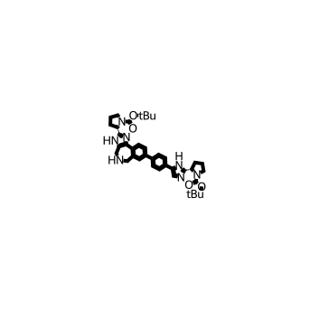 CC(C)(C)OC(=O)N1CCC[C@H]1c1ncc(-c2ccc(-c3ccc4c(c3)CNCc3[nH]c([C@@H]5CCCN5C(=O)OC(C)(C)C)nc3-4)cc2)[nH]1